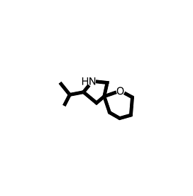 CC(C)C1CC2(CCCCO2)CN1